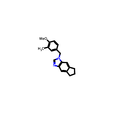 COc1ccc(Cn2cnc3cc4c(cc32)CCC4)cc1C